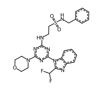 O=S(=O)(CCNc1nc(N2CCOCC2)nc(-n2c(C(F)F)nc3ccccc32)n1)NCc1ccccc1